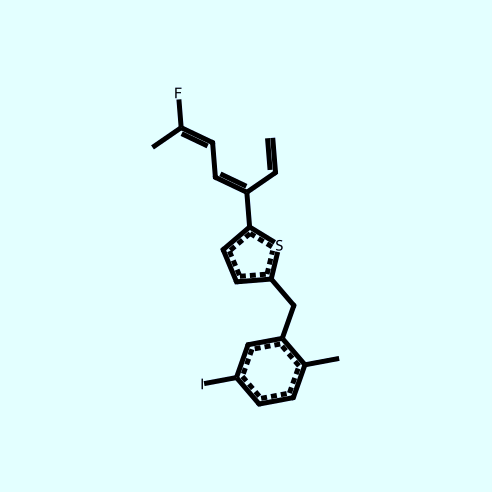 C=C/C(=C\C=C(/C)F)c1ccc(Cc2cc(I)ccc2C)s1